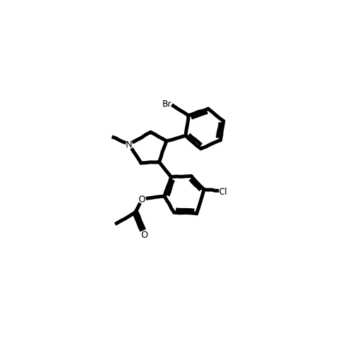 CC(=O)Oc1ccc(Cl)cc1C1CN(C)CC1c1ccccc1Br